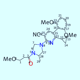 COCCC(=O)N1CCN(c2nc(C3CC3)c(-c3c(OC)cccc3OC)cc2C#N)CC1C